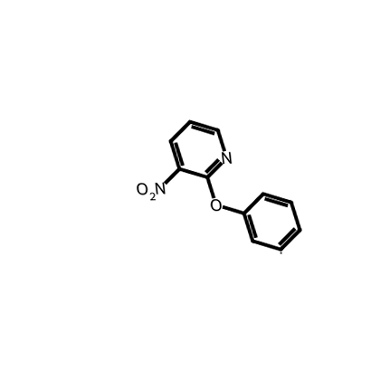 O=[N+]([O-])c1cccnc1Oc1c[c]ccc1